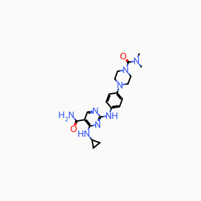 CN(C)C(=O)N1CCN(c2ccc(Nc3ncc(C(N)=O)c(NC4CC4)n3)cc2)CC1